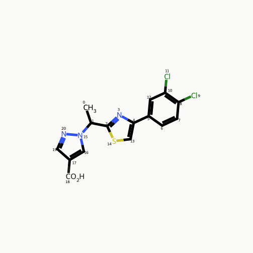 CC(c1nc(-c2ccc(Cl)c(Cl)c2)cs1)n1cc(C(=O)O)cn1